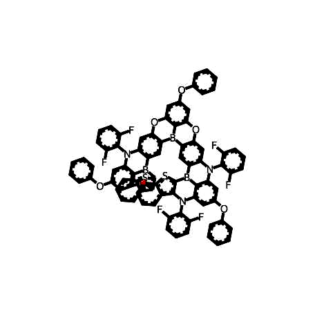 Fc1cccc(F)c1N1c2cc3c(cc2B2c4sc5ccccc5c4Oc4cc(Oc5ccccc5)cc1c42)B1c2cc4c(cc2Oc2cc(Oc5ccccc5)cc(c21)O3)N(c1c(F)cccc1F)c1cc(Oc2ccccc2)cc2c1B4c1sc3ccccc3c1N2c1c(F)cccc1F